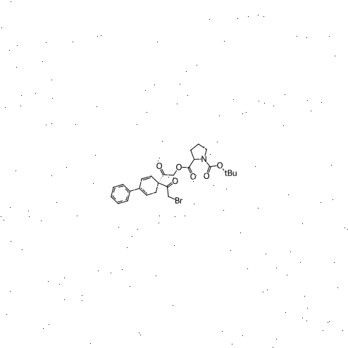 CC(C)(C)OC(=O)N1CCCC1C(=O)OCC(=O)[C@@]1(C(=O)CBr)C=CC(c2ccccc2)=CC1